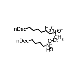 CCCCCCCCCCCCCCCC[N+](C)(C)[O-].CCCCCCCCCCCCCC[NH+]([O-])OCC